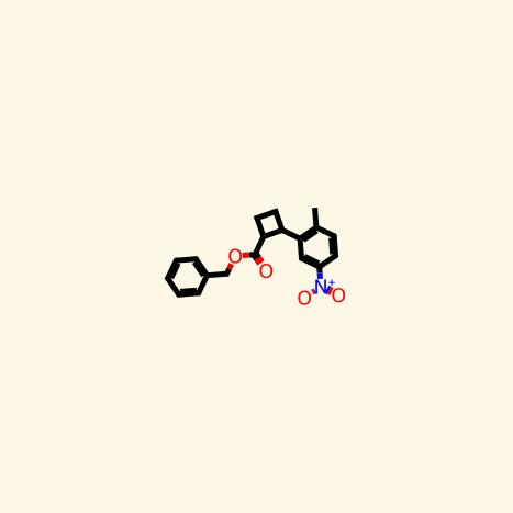 Cc1ccc([N+](=O)[O-])cc1C1CCC1C(=O)OCc1ccccc1